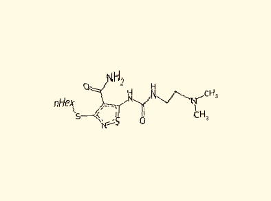 CCCCCCSc1nsc(NC(=O)NCCN(C)C)c1C(N)=O